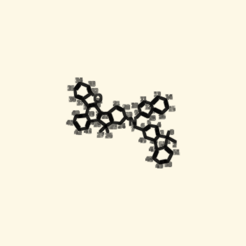 CC1(C)C2=CC=C(CN(c3ccc4ccccc4c3)C3C=CC4=C(C3)C(C)(C)c3c4c4oc5ccccc5c4c4ccccc34)CC2c2ccccc21